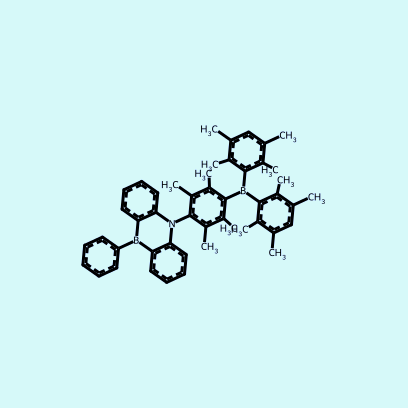 Cc1cc(C)c(C)c(B(c2c(C)c(C)cc(C)c2C)c2c(C)c(C)c(N3c4ccccc4B(c4ccccc4)c4ccccc43)c(C)c2C)c1C